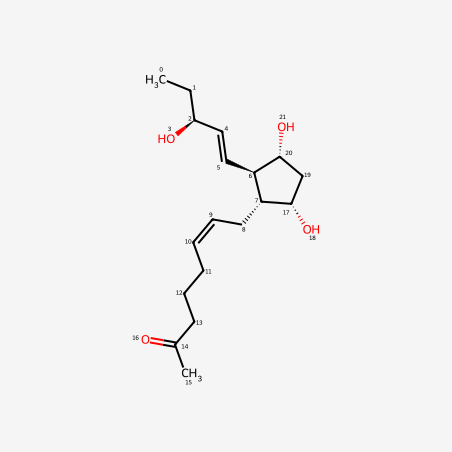 CC[C@H](O)/C=C/[C@@H]1[C@@H](C/C=C\CCCC(C)=O)[C@@H](O)C[C@H]1O